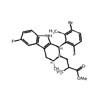 COC(=O)C(C)CN1[C@H](c2c(F)ccc(Br)c2C)c2[nH]c3ccc(F)cc3c2C[C@H]1C